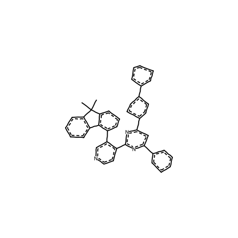 CC1(C)c2ccccc2-c2c(-c3cnccc3-c3nc(-c4ccccc4)cc(-c4ccc(-c5ccccc5)cc4)n3)cccc21